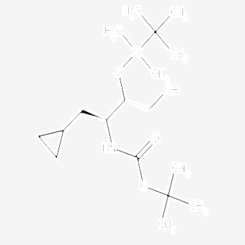 CC(C)(C)OC(=O)N[C@@H](CC1CC1)[C@@H](CO)O[Si](C)(C)C(C)(C)C